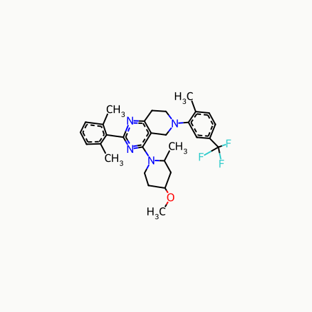 COC1CCN(c2nc(-c3c(C)cccc3C)nc3c2CN(c2cc(C(F)(F)F)ccc2C)CC3)C(C)C1